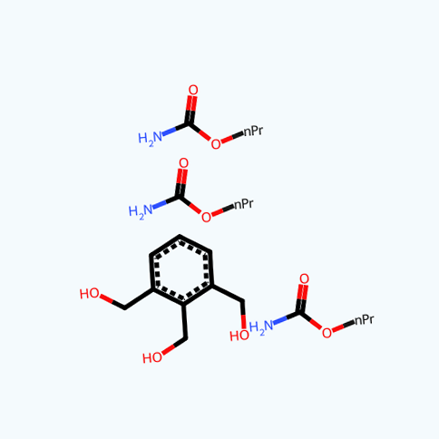 CCCOC(N)=O.CCCOC(N)=O.CCCOC(N)=O.OCc1cccc(CO)c1CO